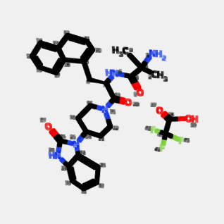 CC(C)(N)C(=O)N[C@H](Cc1cccc2ccccc12)C(=O)N1CCC(n2c(=O)[nH]c3ccccc32)CC1.O=C(O)C(F)(F)F